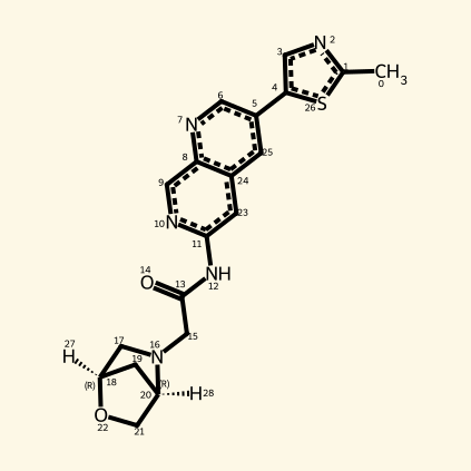 Cc1ncc(-c2cnc3cnc(NC(=O)CN4C[C@H]5C[C@@H]4CO5)cc3c2)s1